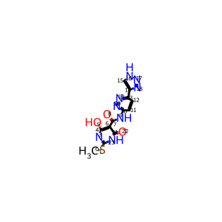 CSc1nc(O)c(C(=O)Nc2ccc(-c3c[nH]nn3)nn2)c(=O)[nH]1